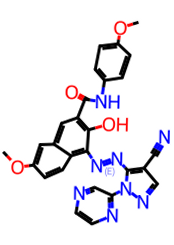 COc1ccc(NC(=O)c2cc3cc(OC)ccc3c(/N=N/c3c(C#N)cnn3-c3cnccn3)c2O)cc1